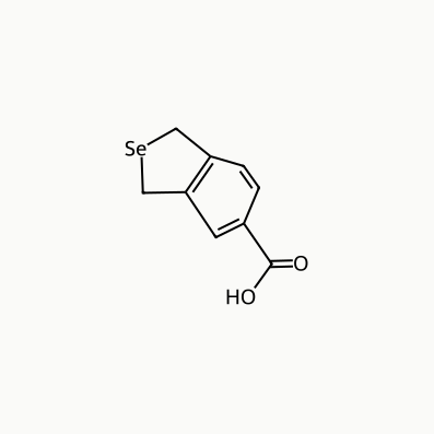 O=C(O)c1ccc2c(c1)C[Se]C2